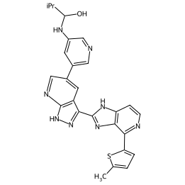 Cc1ccc(-c2nccc3[nH]c(-c4n[nH]c5ncc(-c6cncc(NC(O)C(C)C)c6)cc45)nc23)s1